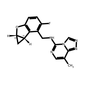 Cc1cnc(NCc2c(F)ccc3c2[C@@H]2C[C@@H]2O3)n2cnnc12